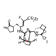 CCOC(=O)/C(F)=C/[C@H](C[C@@H]1CCNC1=O)NC(=O)[C@H]1[C@H]2CC[C@H](CC2(F)F)N1C(=O)[C@H](CC1CCC1)NC(=O)C(F)(F)F